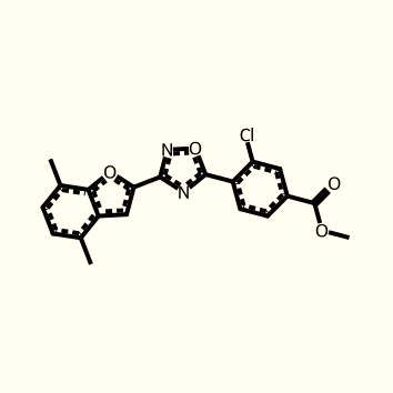 COC(=O)c1ccc(-c2nc(-c3cc4c(C)ccc(C)c4o3)no2)c(Cl)c1